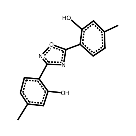 Cc1ccc(-c2noc(-c3ccc(C)cc3O)n2)c(O)c1